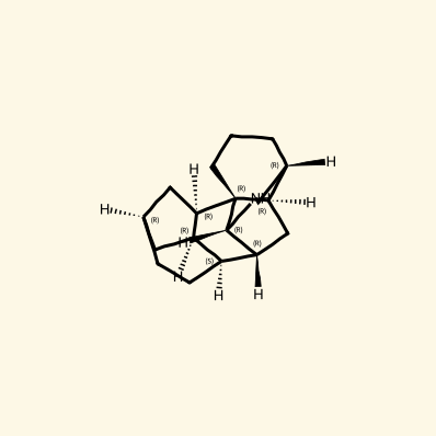 C1C[C@H]2CN[C@@H]3[C@@H]4C[C@H]2[C@@]3(C1)[C@@H]1C[C@@H]2CC[C@H]4[C@H]1C2